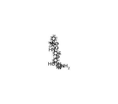 Cc1c(C(=O)Nc2ccc(Oc3ccc(O)c(-c4ccnc(N)n4)c3)c(F)c2)c(=O)n(-c2ccccc2)n1C